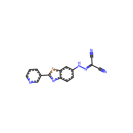 N#CC(C#N)=NNc1ccc2nc(-c3cccnc3)sc2c1